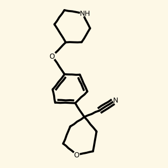 N#CC1(c2ccc(OC3CCNCC3)cc2)CCOCC1